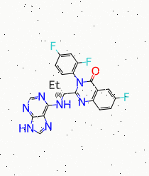 CC[C@@H](Nc1ncnc2[nH]cnc12)c1nc2ccc(F)cc2c(=O)n1-c1ccc(F)cc1F